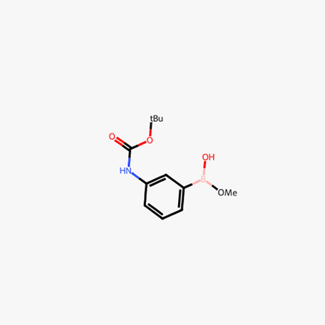 COB(O)c1cccc(NC(=O)OC(C)(C)C)c1